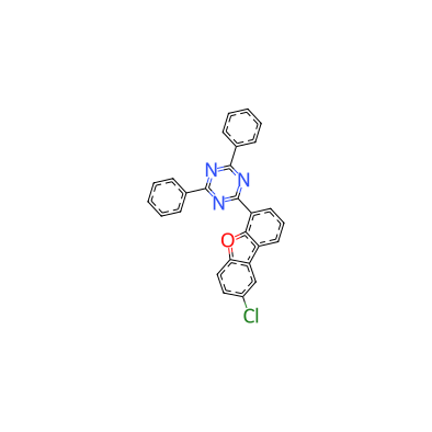 Clc1ccc2oc3c(-c4nc(-c5ccccc5)nc(-c5ccccc5)n4)cccc3c2c1